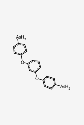 [AsH2]c1ccc(Oc2cccc(Oc3ccc([AsH2])cc3)c2)cc1